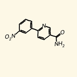 NC(=O)c1ccc(-c2cccc([N+](=O)[O-])c2)nc1